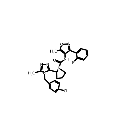 Cc1onc(-c2ccccc2F)c1NC(=O)N1CCCC1c1nnc(C)n1Cc1ccc(Cl)cc1